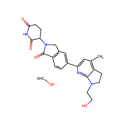 Cc1cc(-c2ccc3c(c2)CN(C2CCC(=O)NC2=O)C3=O)nc2c1CCN2CCO.O=CO